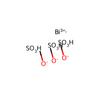 O=S(=O)([O-])O.O=S(=O)([O-])O.O=S(=O)([O-])O.[Bi+3]